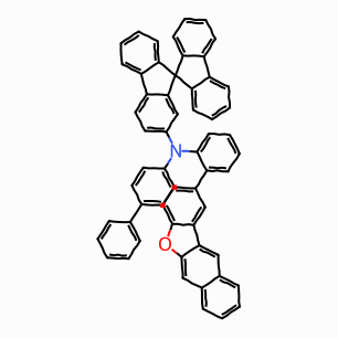 c1ccc(-c2ccc(N(c3ccc4c(c3)C3(c5ccccc5-c5ccccc53)c3ccccc3-4)c3ccccc3-c3ccc4oc5cc6ccccc6cc5c4c3)cc2)cc1